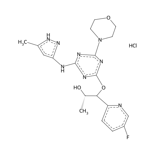 Cc1cc(Nc2nc(OC(c3ccc(F)cn3)[C@H](C)O)nc(N3CCOCC3)n2)n[nH]1.Cl